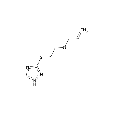 C=CCOCCSc1nc[nH]n1